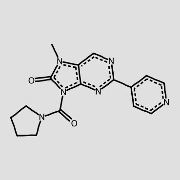 Cn1c(=O)n(C(=O)N2CCCC2)c2nc(-c3ccncc3)ncc21